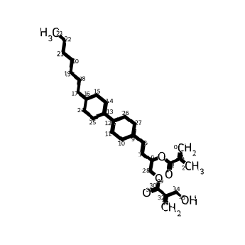 C=C(C)C(=O)OC(CCC1CCC(C2CCC(CCCCCCC)CC2)CC1)COC(=O)C(=C)CO